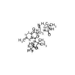 C[C@@H]1CC[C@@H](C(=O)N[C@H](C#N)C[C@@H]2CC(C)(C)NC2=O)N(C(=O)[C@@H](NC(=O)C(F)(F)F)C(C)(C)C)C1